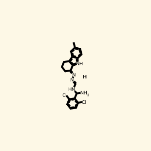 Cc1ccc2[nH]c3c(c2c1)CCCC3=NN=CNC(N)c1c(Cl)cccc1Cl.I